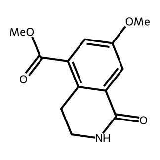 COC(=O)c1cc(OC)cc2c1CCNC2=O